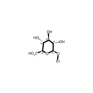 CCO[C@H]1O[C@@H](C(=O)O)[C@H](O)[C@@H](O)[C@@H]1O